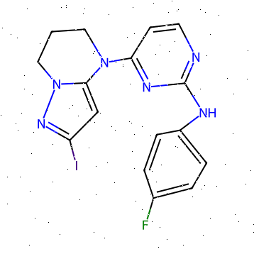 Fc1ccc(Nc2nccc(N3CCCn4nc(I)cc43)n2)cc1